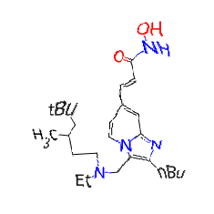 CCCCc1nc2cc(C=CC(=O)NO)ccn2c1CN(CC)CCC(C)CC(C)(C)C